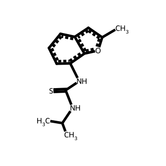 Cc1cc2cccc(NC(=S)NC(C)C)c2o1